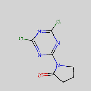 O=C1CCCN1c1nc(Cl)nc(Cl)n1